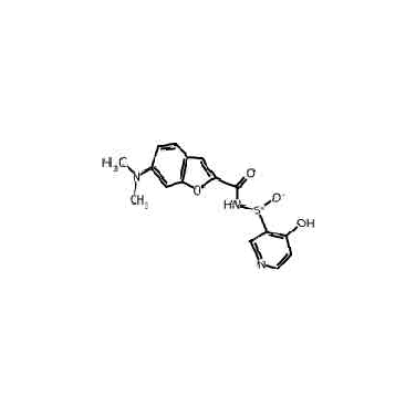 CN(C)c1ccc2cc(C(=O)N[S+]([O-])c3cnccc3O)oc2c1